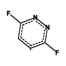 Fc1[c]cc(F)nn1